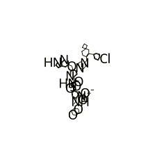 O=C(NS(=O)(=O)c1ccc(NC[C@H]2COCCO2)c([N+](=O)[O-])c1)c1cc(N2CCN(CC3=C(c4ccc(Cl)cc4)CC4(CCC4)CC3)CC2)c(Oc2cnc3[nH]ccc3c2)cn1